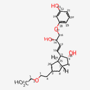 O=C(O)COCCC1C[C@H]2C[C@@H](O)[C@H](C=CC(O)COc3cccc(O)c3)[C@@H]2C1